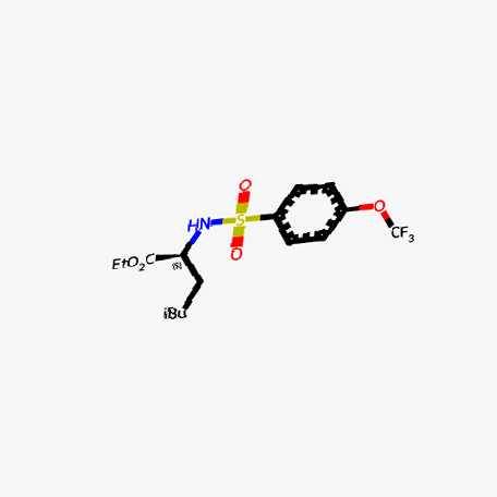 CCOC(=O)[C@H](CC(C)CC)NS(=O)(=O)c1ccc(OC(F)(F)F)cc1